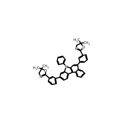 CC1(C)CN=C(c2cccc(-c3ccc4c5c6ccccc6c(-c6cccc(C7=NCC(C)(C)O7)c6)cc5n(-c5ccccc5)c4c3)c2)O1